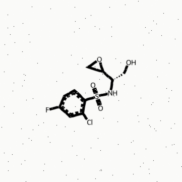 O=S(=O)(N[C@@H](CO)C1CO1)c1ccc(F)cc1Cl